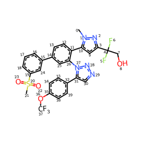 Cn1nc(C(F)(F)CO)cc1-c1ccc(-c2cccc(S(C)(=O)=O)c2)cc1-n1nncc1-c1ccc(OC(F)(F)F)cc1